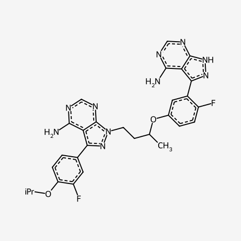 CC(C)Oc1ccc(-c2nn(CCC(C)Oc3ccc(F)c(-c4n[nH]c5ncnc(N)c45)c3)c3ncnc(N)c23)cc1F